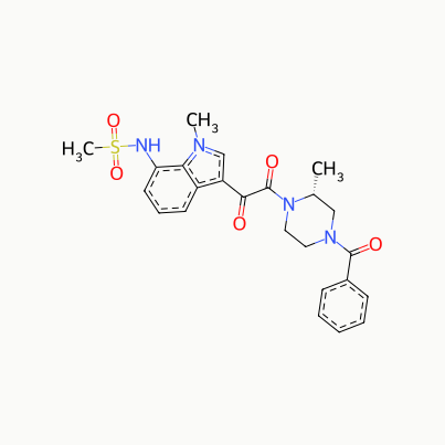 C[C@@H]1CN(C(=O)c2ccccc2)CCN1C(=O)C(=O)c1cn(C)c2c(NS(C)(=O)=O)cccc12